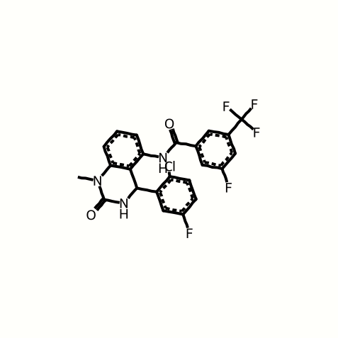 CN1C(=O)NC(c2cc(F)ccc2Cl)c2c(NC(=O)c3cc(F)cc(C(F)(F)F)c3)cccc21